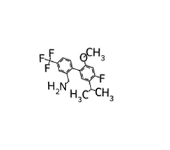 COc1cc(F)c(C(C)C)cc1-c1ccc(C(F)(F)F)cc1CN